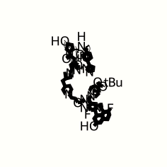 C#Cc1c(F)ccc2cc(O)cc(-c3ncc4c(N5CC6CCCC5CN6C(=O)OC(C)(C)C)nc(OCCN5CCC(CC6CN(c7cc([C@H](C(=O)N8C[C@H](O)C[C@H]8C(=O)N[C@@H](C)c8ccc(-c9ccnn9C)cc8)C(C)C)on7)C6)CC5)nc4c3F)c12